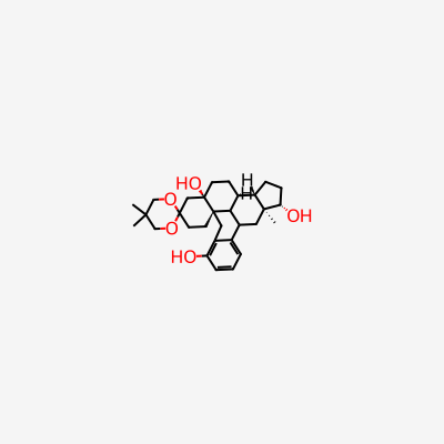 CC1(C)COC2(CC[C@@]34Cc5c(O)cccc5C5C[C@]6(C)[C@@H](O)CC[C@H]6[C@H](CC[C@@]3(O)C2)C54)OC1